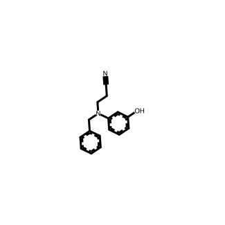 N#CCCN(Cc1ccccc1)c1cccc(O)c1